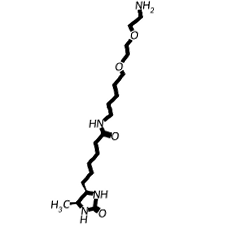 C[C@@H]1NC(=O)N[C@@H]1CCCCCC(=O)NCCCCCOCCOCCN